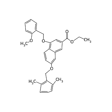 CCOC(=O)c1cc(OCc2ccccc2OC)c2ccc(OCc3c(C)cccc3C)cc2c1